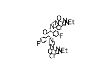 CCn1cc(Cl)c(C(=O)N2CCN(CC(C(=O)C(CN3CCN(C(=O)c4nn(CC)cc4Cl)CC3)c3ccc(F)cc3)c3ccc(F)cc3)CC2)n1